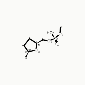 COP(=O)(O)OC[C@@H]1CC[C@H](C)O1